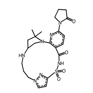 CC1(C)CC2CN1c1nc(N3CCCC3=O)ccc1C(=O)NS(=O)(=O)c1ccn(n1)CCCN2